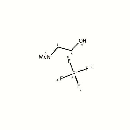 C[NH2+]CCO.F[B-](F)(F)F